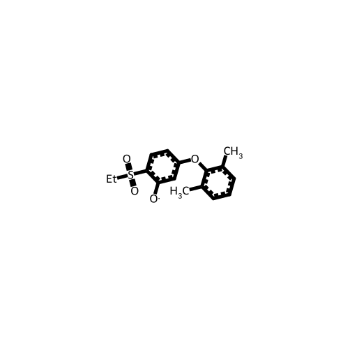 CCS(=O)(=O)c1ccc(Oc2c(C)cccc2C)cc1[O]